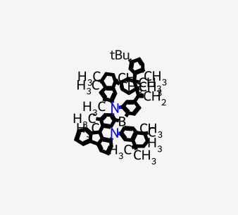 C=C(c1ccc2c(c1)N(c1cc3c(cc1C)C(C)(C)CCC3(C)C)c1cc(C)c3c4c1B2c1cc2c(cc1N4c1cccc4c1C3(C)c1ccccc1-4)C(C)(C)CCC2(C)C)C1(C)CCCCC1(C)c1cc(C(C)(C)C)ccc1C